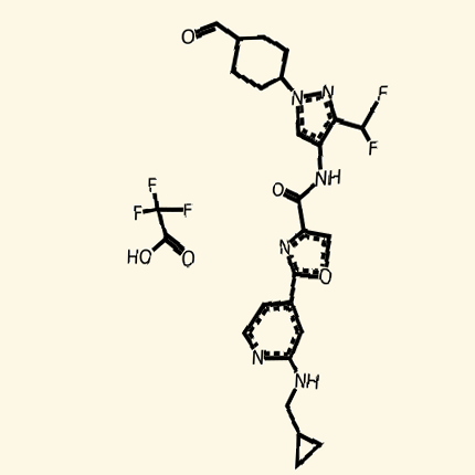 O=C(O)C(F)(F)F.O=CC1CCC(n2cc(NC(=O)c3coc(-c4ccnc(NCC5CC5)c4)n3)c(C(F)F)n2)CC1